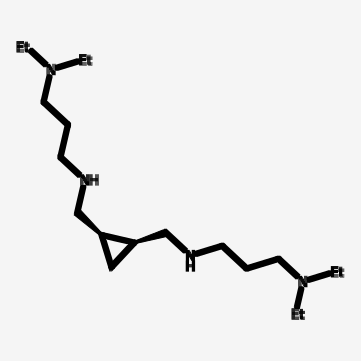 CCN(CC)CCCNC[C@@H]1C[C@@H]1CNCCCN(CC)CC